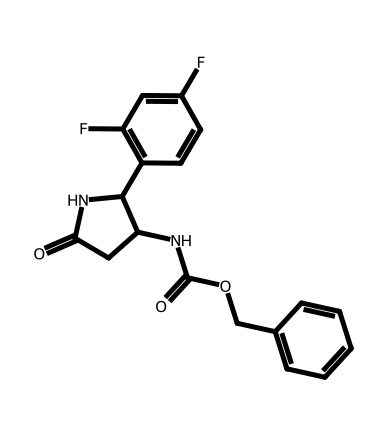 O=C1CC(NC(=O)OCc2ccccc2)C(c2ccc(F)cc2F)N1